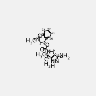 CN(C)CC(OC(=O)N1Cc2c(N)n[nH]c2C1(C)C)c1ccccc1